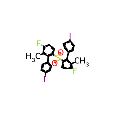 Cc1c(F)ccc(S(=O)(=O)c2ccc(F)c(C)c2-c2ccc(I)cc2)c1-c1ccc(I)cc1